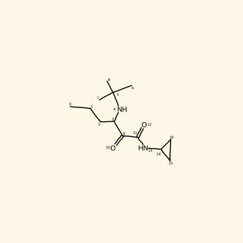 CCCC(NC(C)(C)C)C(=O)C(=O)NC1CC1